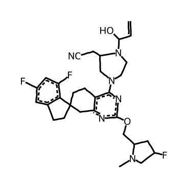 C=CC(O)N1CCN(c2nc(OCC3CC(F)CN3C)nc3c2CCC2(CCc4cc(F)cc(F)c42)C3)CC1CC#N